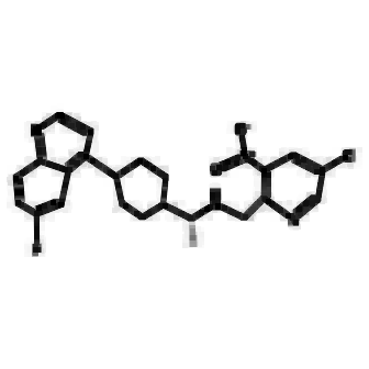 C[C@@H](NCc1ncc(Cl)cc1[N+](=O)[O-])C1CCC(c2ccnc3ccc(F)cc23)CC1